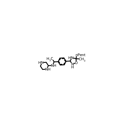 CCCCCC1(C)NC(c2ccc(C(C)NC3CNCCN3)cc2)NO1